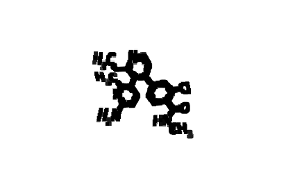 CCc1nccc(-c2ccc(C(=O)NC)c(Cl)c2)c1-c1ccc(N)nc1C